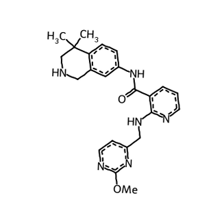 COc1nccc(CNc2ncccc2C(=O)Nc2ccc3c(c2)CNCC3(C)C)n1